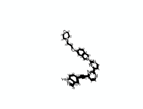 C(#Cc1ccnc(-c2ccnc(N3Cc4ccc(OCCN5CCOCC5)cc4C3)n2)n1)c1ccc2[nH]ncc2c1